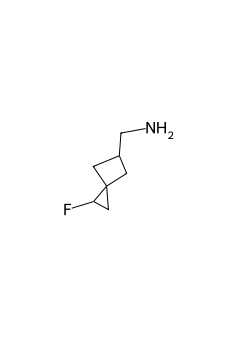 NCC1CC2(C1)CC2F